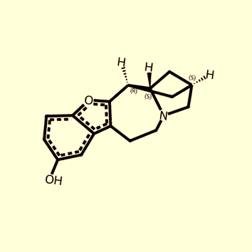 Oc1ccc2oc3c(c2c1)CCN1C[C@H]2C[C@@H]3[C@@H]1C2